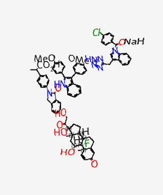 CC(C(=O)O)c1ccc(N2Cc3ccccc3C2=O)cc1.COc1ccc(-c2[nH]c3ccccc3c2-c2ccc(OC)cc2)cc1.C[C@]12C=CC(=O)C=C1CC[C@H]1[C@@H]3CC[C@](O)(C(=O)CO)[C@@]3(C)C[C@H](O)[C@@]12F.O=C(c1ccc(Cl)cc1)n1cc(Cc2nn[nH]n2)c2ccccc21.[NaH]